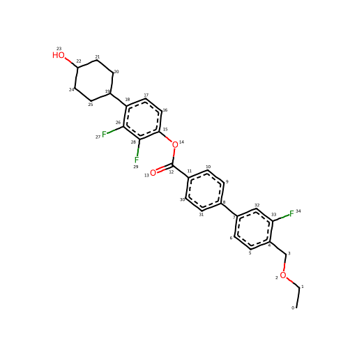 CCOCc1ccc(-c2ccc(C(=O)Oc3ccc(C4CCC(O)CC4)c(F)c3F)cc2)cc1F